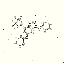 CC1(C)CB(c2cc(OC3CCCCO3)cc(OCc3ccccc3)c2C=O)CC1(C)C